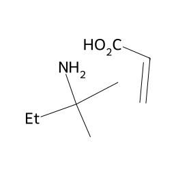 C=CC(=O)O.CCC(C)(C)N